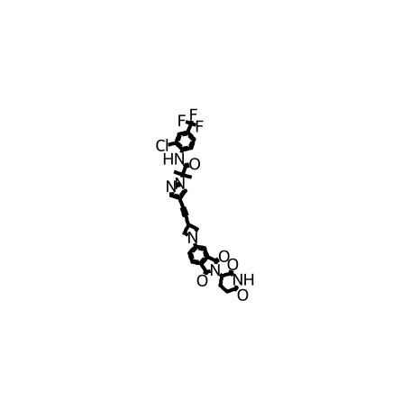 CC(C)(C(=O)Nc1ccc(C(F)(F)F)cc1Cl)n1cc(C#CC2CN(c3ccc4c(c3)C(=O)N(C3CCC(=O)NC3=O)C4=O)C2)cn1